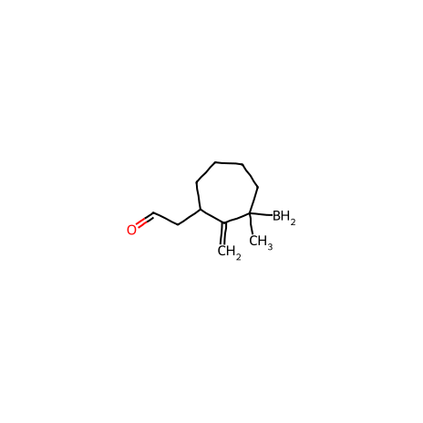 BC1(C)CCCCC(CC=O)C1=C